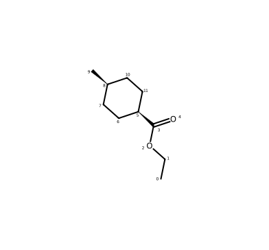 CCOC(=O)[C@H]1CC[C@@H](C)CC1